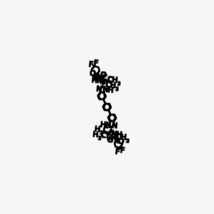 CC(C)(C)[C@H](NC(=O)[C@@]1(C)CCC(F)(F)CO1)c1nc2ccc(-c3ccc(-c4ccc5nc([C@@H](NC(=O)[C@@]6(C)CCC(F)(F)CO6)C(C)(C)C)[nH]c5c4)cc3)cc2[nH]1